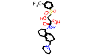 O=C(N[C@@H]1CCCc2cc(CN3CCCCC3)ccc21)[C@@H](O)[C@H](O)CS(=O)(=O)c1cccc(C(F)(F)F)c1